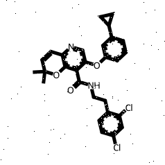 CC1(C)C=Cc2ncc(Oc3cccc(C4CC4)c3)c(C(=O)NCCc3ccc(Cl)cc3Cl)c2O1